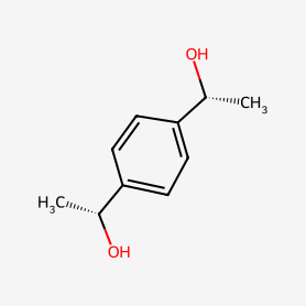 C[C@@H](O)c1ccc([C@@H](C)O)cc1